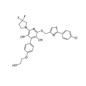 [C-]#[N+]c1c(N2CCC(F)(F)C2)nc(SCc2csc(-c3ccc(Cl)cc3)n2)c(C#N)c1-c1ccc(OCCO)cc1